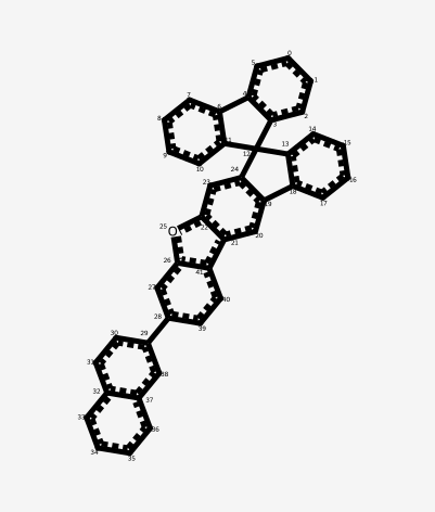 c1ccc2c(c1)-c1ccccc1C21c2ccccc2-c2cc3c(cc21)oc1cc(-c2ccc4ccccc4c2)ccc13